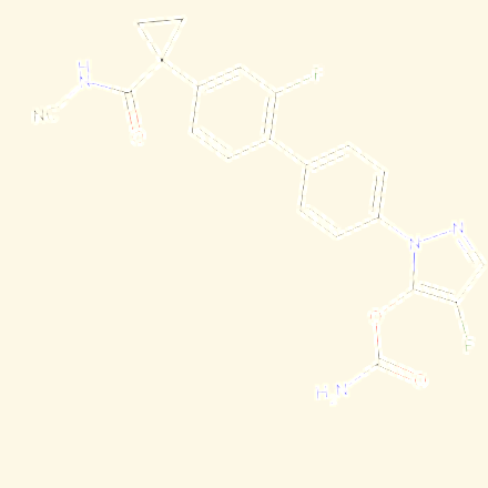 N#CNC(=O)C1(c2ccc(-c3ccc(-n4ncc(F)c4OC(N)=O)cc3)c(F)c2)CC1